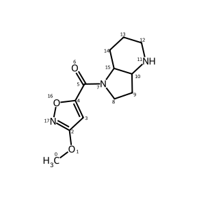 COc1cc(C(=O)N2CCC3NCCCC32)on1